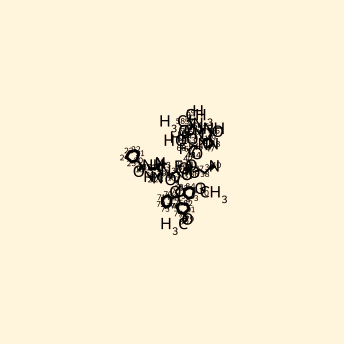 COc1ccc(C(OC[C@H]2O[C@@H](n3cnc4c(NC(=O)c5ccccc5)ncnc43)[C@@H](F)[C@@H]2OP(=O)(OCCC#N)OC[C@H]2O[C@@H](n3cnc4c(=O)[nH]c(NC(=O)C(C)C)nc43)[C@H](O[PH](=O)O)[C@@H]2F)(c2ccccc2)c2ccc(OC)cc2)cc1